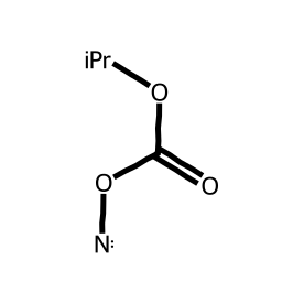 CC(C)OC(=O)O[N]